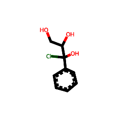 OCC(O)C(O)(Cl)c1ccccc1